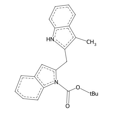 Cc1c(Cc2cc3ccccc3n2C(=O)OC(C)(C)C)[nH]c2ccccc12